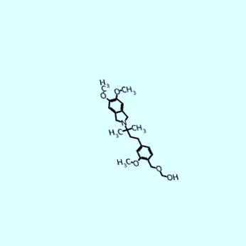 COc1cc(CCC(C)(C)N2Cc3cc(OC)c(OC)cc3C2)ccc1COCO